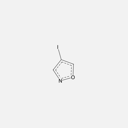 Ic1cnoc1